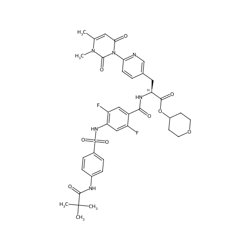 Cc1cc(=O)n(-c2ccc(C[C@H](NC(=O)c3cc(F)c(NS(=O)(=O)c4ccc(NC(=O)C(C)(C)C)cc4)cc3F)C(=O)OC3CCOCC3)cn2)c(=O)n1C